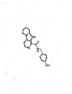 O=C(NCc1ccc(O)cc1)c1nccc2c1[nH]c1ccccc12